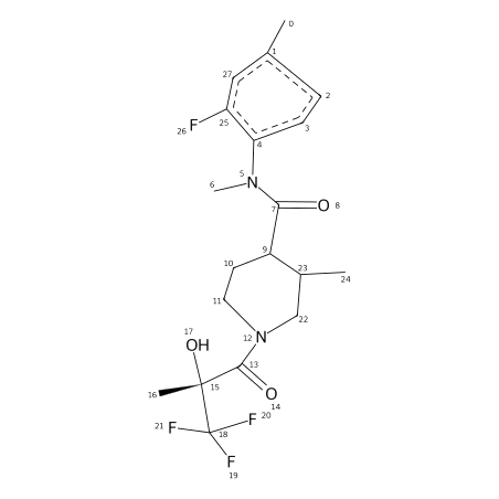 Cc1ccc(N(C)C(=O)C2CCN(C(=O)[C@@](C)(O)C(F)(F)F)CC2C)c(F)c1